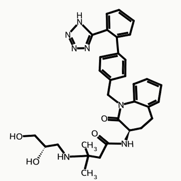 CC(C)(CC(=O)N[C@@H]1CCc2ccccc2N(Cc2ccc(-c3ccccc3-c3nnn[nH]3)cc2)C1=O)NC[C@H](O)CO